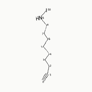 C#CCCCCCCCNI